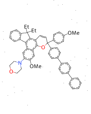 CCC1(CC)c2ccccc2-c2c1c1c(c3cc(OC)c(N4CCOCC4)cc23)OC(c2ccc(OC)cc2)(c2ccc(-c3ccc(-c4ccccc4)cc3)cc2)C=C1